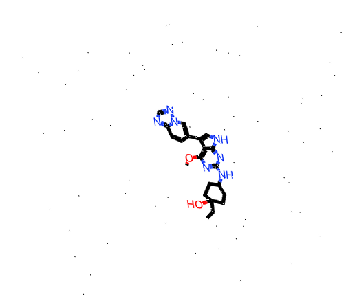 CCC1(O)CCC(Nc2nc(OC)c3c(-c4ccc5ncnn5c4)c[nH]c3n2)CC1